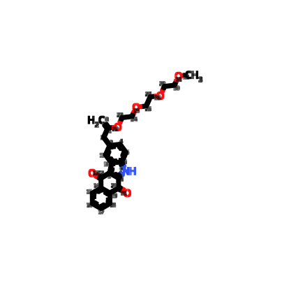 C=C(Cc1ccc2[nH]c3c(c2c1)C(=O)c1ccccc1C3=O)OCCOCCOCCOC